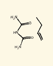 C=CCC.NC(=O)NC(N)=O